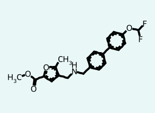 COC(=O)c1cc(CNCc2ccc(-c3ccc(OC(F)F)cc3)cc2)c(C)o1